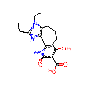 CCc1nc2c(n1CC)CCCc1c-2[nH]c(=O)c(C(=O)O)c1O